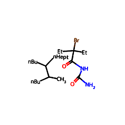 CCC(Br)(CC)C(=O)NC(N)=O.CCCCCCCC(CCCC)C(C)CCCC